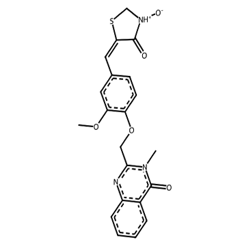 COc1cc(C=C2SC[NH+]([O-])C2=O)ccc1OCc1nc2ccccc2c(=O)n1C